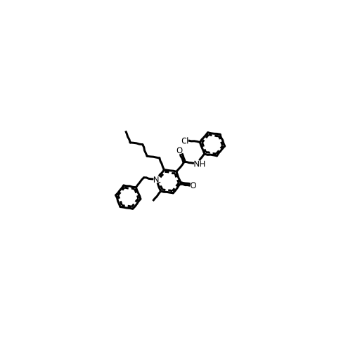 CCCCCc1c(C(=O)Nc2ccccc2Cl)c(=O)cc(C)n1Cc1ccccc1